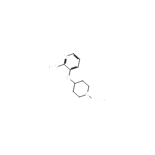 CCOC(=O)N1CCC(Nc2cccnc2N)CC1